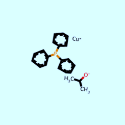 CC(C)[O-].[Cu+].c1ccc(P(c2ccccc2)c2ccccc2)cc1